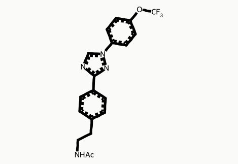 CC(=O)NCCc1ccc(-c2ncn(-c3ccc(OC(F)(F)F)cc3)n2)cc1